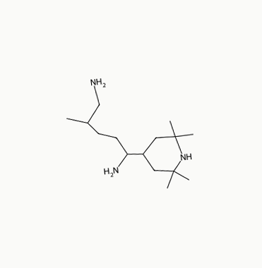 CC(CN)CCC(N)C1CC(C)(C)NC(C)(C)C1